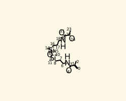 C=C(C)C(=O)NCCC[Si](C)(C)O[Si](C)(C)CCCNC(=O)C(C)=O